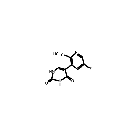 Cl.O=c1[nH]cc(-c2cc(F)cnc2Cl)c(=O)[nH]1